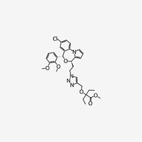 CCC(CC)(OCc1cn(CC[C@H]2O[C@H](c3cccc(OC)c3OC)c3cc(Cl)ccc3-n3cccc32)nn1)C(=O)OC